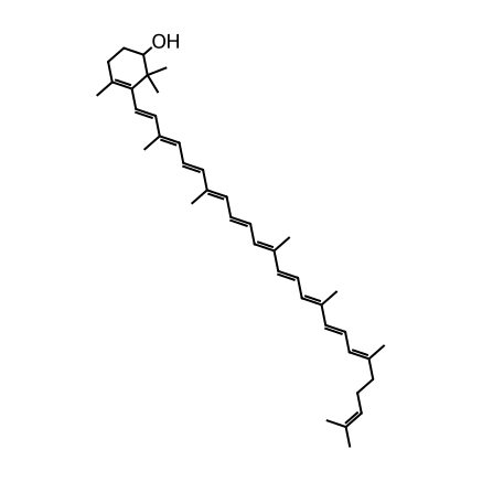 CC(C)=CCC/C(C)=C/C=C/C(C)=C/C=C/C(C)=C/C=C/C=C(C)/C=C/C=C(C)/C=C/C1=C(C)CCC(O)C1(C)C